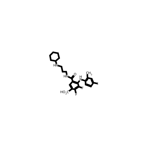 Cc1cc(I)ccc1Nc1c(C(=O)NCCCNC2CCCCC2)cc(C(=O)O)c(F)c1F